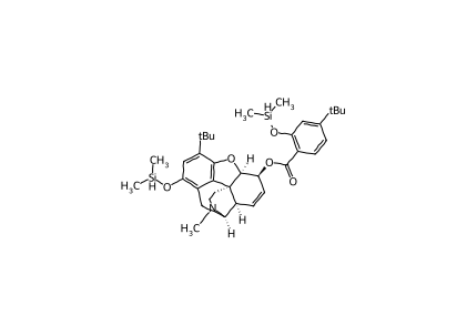 CN1CC[C@]23c4c5c(O[SiH](C)C)cc(C(C)(C)C)c4O[C@H]2[C@@H](OC(=O)c2ccc(C(C)(C)C)cc2O[SiH](C)C)C=C[C@H]3[C@H]1C5